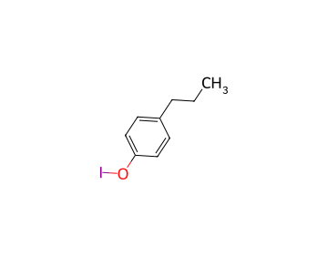 CCCc1ccc(OI)cc1